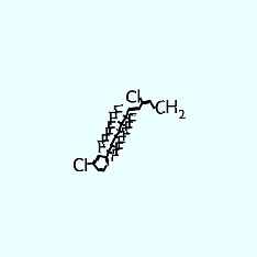 C=C/C=C(Cl)\C=C\C(F)(F)C(F)(F)C(F)(F)C(F)(F)C(F)(F)C(F)(F)c1cccc(Cl)c1